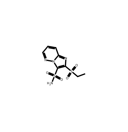 CCS(=O)(=O)c1nc2cccnn2c1S(N)(=O)=O